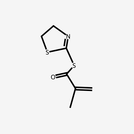 C=C(C)C(=O)SC1=NCCS1